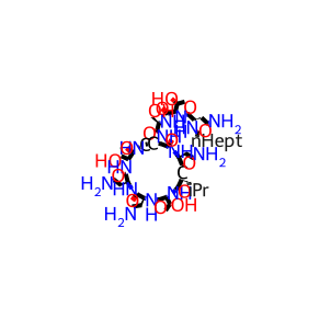 CCCCCCCC(=O)N[C@@H](CCN)C(=O)N[C@H](C(=O)N[C@H](CO)C(=O)N[C@H]1CCNC(=O)C([C@@H](C)O)NC(=O)[C@H](CCN)NC(=O)[C@H](CCN)NC(=O)C(C(C)O)NC(=O)[C@@H](CC(C)C)CC(=O)[C@H](CCN)NC1=O)C(C)O